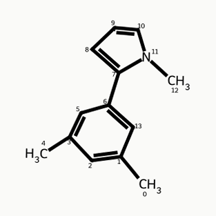 Cc1cc(C)cc(-c2c[c]cn2C)c1